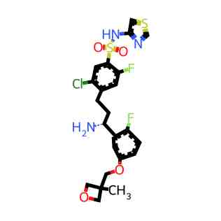 CC1(COc2ccc(F)c([C@H](N)CCc3cc(F)c(S(=O)(=O)Nc4cscn4)cc3Cl)c2)COC1